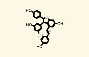 Oc1ccc(/C=C/c2cc(O)cc3c2C(c2cc(O)cc(O)c2)C(c2ccc(O)cc2)O3)cc1